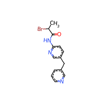 CC(Br)C(=O)Nc1ccc(Cc2cccnc2)cn1